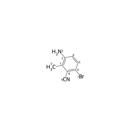 Cc1c(N)ccc(Br)c1C#N